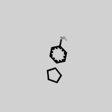 C1CCCC1.O=[N+]([O-])c1ccccc1